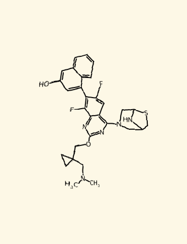 CN(C)CC1(COc2nc(N3CC4CSC(C3)N4)c3cc(F)c(-c4cc(O)cc5ccccc45)c(F)c3n2)CC1